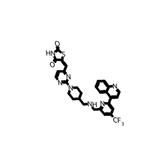 O=C1NC(=O)/C(=C\c2ccnc(N3CCC(CNCc4cc(C(F)(F)F)cc(-c5ccnc6ccccc56)n4)CC3)n2)S1